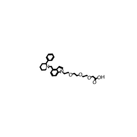 O=C(O)COCCOCCOCCn1ccc2c(CN3CCCCC3c3ccccc3)cccc21